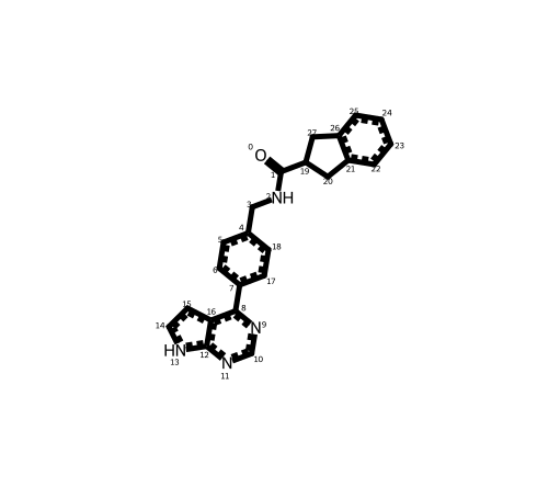 O=C(NCc1ccc(-c2ncnc3[nH]ccc23)cc1)C1Cc2ccccc2C1